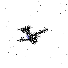 CC[N+]1=C(/C=C/C=C2/N(CCCCCC(=O)O)c3ccc4c(S(=O)(=O)[O-])cc(S(=O)(=O)O)cc4c3C2(C)CCOCCOCCOCCOCCOCCOC)C(C)(C)c2c1ccc1c(S(=O)(=O)O)cc(S(=O)(=O)O)cc21